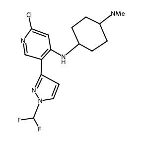 CNC1CCC(Nc2cc(Cl)ncc2-c2ccn(C(F)F)n2)CC1